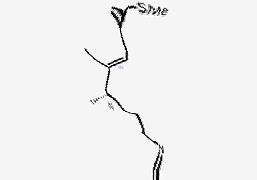 C=NCC[C@H](C)/C(C)=C/C(=C)SC